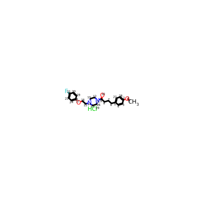 COc1ccc(CCCC(=O)N2CCN(CCOc3ccc(F)cc3)CC2)cc1.Cl